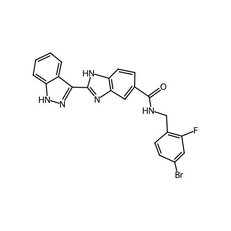 O=C(NCc1ccc(Br)cc1F)c1ccc2[nH]c(-c3n[nH]c4ccccc34)nc2c1